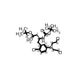 CC(C)(C)OC(=O)C[C@H](Cc1cc(N(CCCl)CCCl)ccc1Cl)NC(=O)OC(C)(C)C